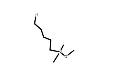 CO[Si](C)(C)CCCCCCl